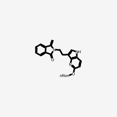 C=C1c2ccccc2C(=O)N1CCc1c[nH]c2ccc(OCCCCCCCCC)nc12